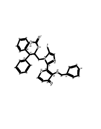 NC(=O)OC(Cn1c(I)cnc1-c1occc(=O)c1OCc1ccccc1)C(c1ccccc1)c1ccccc1